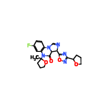 CC1(N2C(=O)C3C(c4nc(C5CCCO5)no4)N=CN3c3ccc(F)cc32)CCCO1